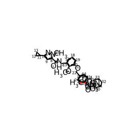 COc1c(CNC(=O)c2cc(C3CC3)nn2C)cccc1OCc1ccc(C(=O)N2CC3CC(C2)N3C(=O)OC(C)(C)C)cc1